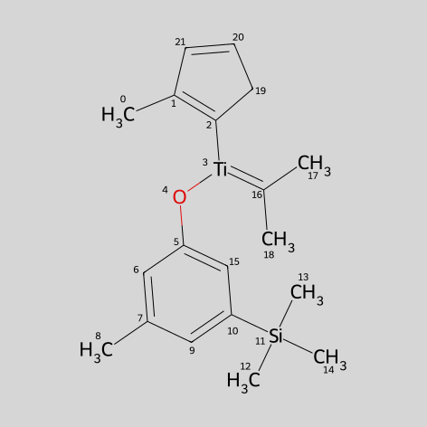 CC1=[C]([Ti]([O]c2cc(C)cc([Si](C)(C)C)c2)=[C](C)C)CC=C1